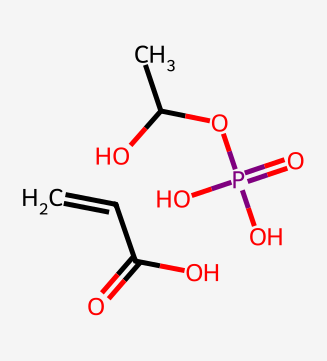 C=CC(=O)O.CC(O)OP(=O)(O)O